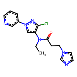 CCN(C(=O)CCn1ccnc1)c1cn(-c2cccnc2)nc1Cl